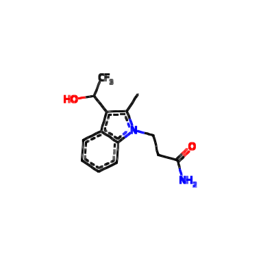 Cc1c(C(O)C(F)(F)F)c2ccccc2n1CCC(N)=O